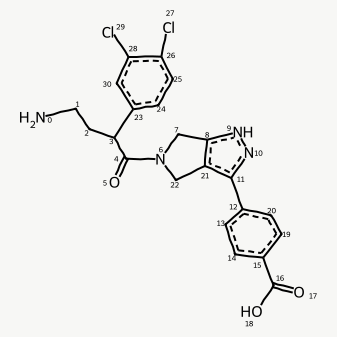 NCCC(C(=O)N1Cc2[nH]nc(-c3ccc(C(=O)O)cc3)c2C1)c1ccc(Cl)c(Cl)c1